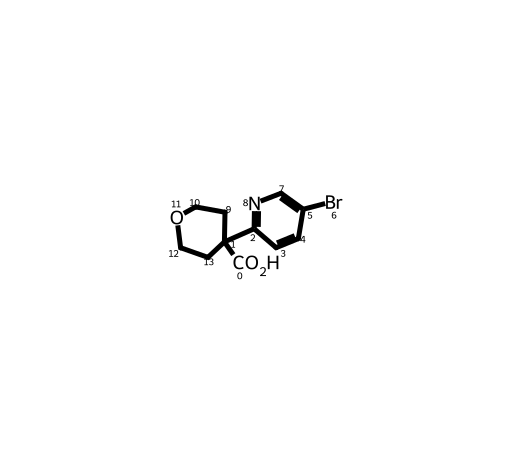 O=C(O)C1(c2ccc(Br)cn2)CCOCC1